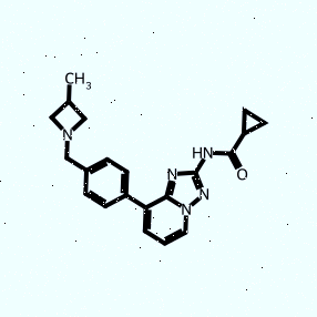 CC1CN(Cc2ccc(-c3cccn4nc(NC(=O)C5CC5)nc34)cc2)C1